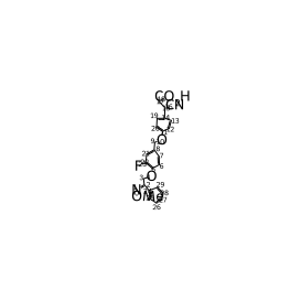 CO/N=C(/COc1ccc(COc2ccc(C(C#N)CC(=O)O)cc2)cc1F)c1ccccc1